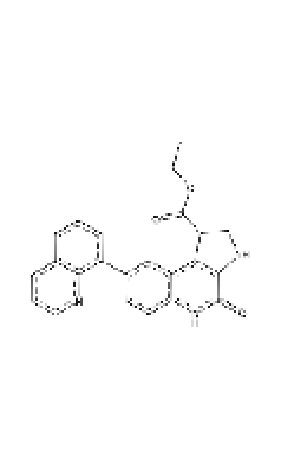 CCOC(=O)C1CNc2c1c1cc(-c3cccc4cccnc34)ccc1[nH]c2=O